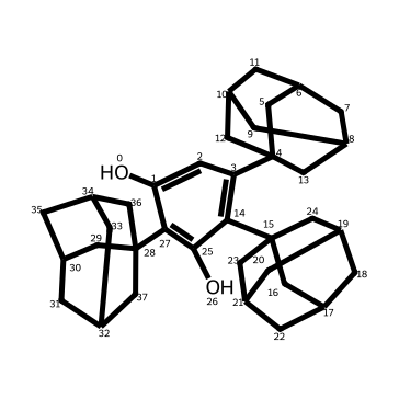 Oc1cc(C23CC4CC(CC(C4)C2)C3)c(C23CC4CC(CC(C4)C2)C3)c(O)c1C12CC3CC(CC(C3)C1)C2